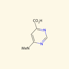 CNc1cc(C(=O)O)ncn1